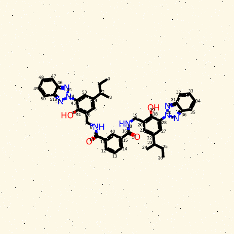 CCC(C)c1cc(CNC(=O)c2cccc(C(=O)NCc3cc(C(C)CC)cc(-n4nc5ccccc5n4)c3O)c2)c(O)c(-n2nc3ccccc3n2)c1